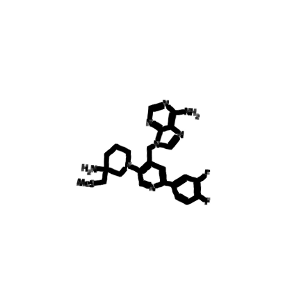 CSCC1(N)CCCN(c2cnc(-c3ccc(F)c(F)c3)cc2Cn2cnc3c(N)ncnc32)C1